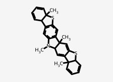 CN1c2cc3c(cc2C2(C)C=C4SC5C=CC=CC5(C)C4=CC12)SC1(C)C=CC=CC31